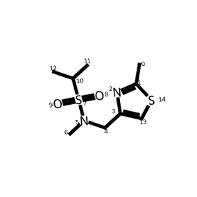 Cc1nc(CN(C)S(=O)(=O)C(C)C)cs1